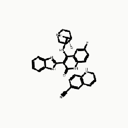 N#Cc1ccc2c(c1)C=CCN2.O=c1[nH]c2ccc(F)cc2c(N[C@H]2CN3CCC2CC3)c1-c1nc2ccccc2[nH]1